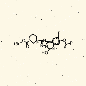 CC(C)(C)OC(=O)N1CCC[C@@H](c2nc3c4cc(F)c(OC(F)F)cc4nc(O)n3n2)C1